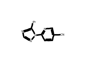 CC(C)c1ncnn1-c1ccc(C#N)cn1